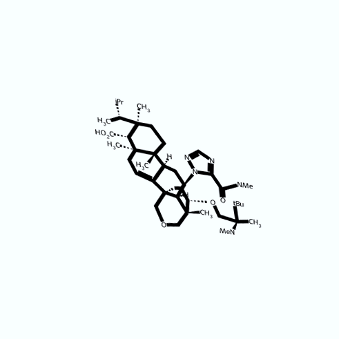 CNC(=O)c1ncnn1[C@@H]1C[C@@]23COC[C@](C)([C@@H]2CC[C@H]2C3=CC[C@@]3(C)[C@H](C(=O)O)[C@@](C)([C@H](C)C(C)C)CC[C@]23C)[C@H]1OC[C@](C)(NC)C(C)(C)C